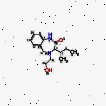 CC[C@H](C)C1C(=O)Nc2ccccc2CN1CCO